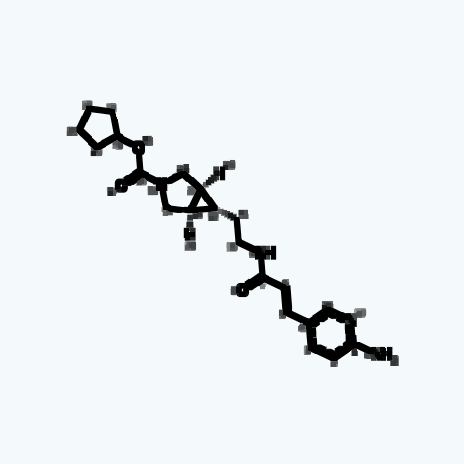 Nc1ccc(/C=C/C(=O)NCC[C@@H]2[C@H]3CN(C(=O)OC4CCCC4)C[C@@H]23)cn1